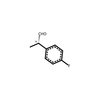 C[C@H](C=O)c1ccc(F)cc1